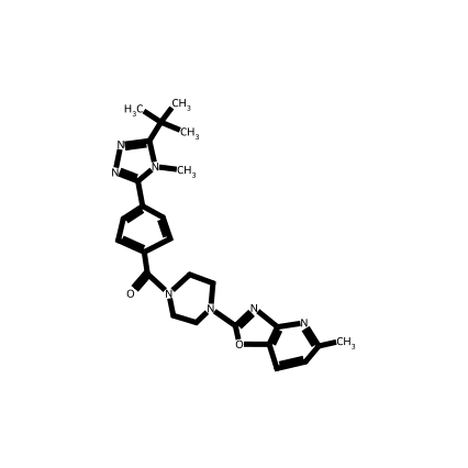 Cc1ccc2oc(N3CCN(C(=O)c4ccc(-c5nnc(C(C)(C)C)n5C)cc4)CC3)nc2n1